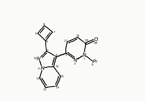 CC(C)n1nc(-c2c(C3=CC=C3)nn3ccccc23)ccc1=O